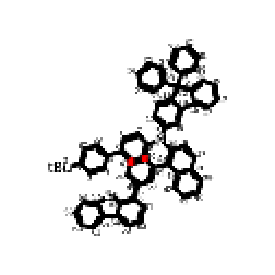 CC(C)(C)c1ccc(-c2ccc(N(c3ccc4c(c3)-c3ccccc3C4(c3ccccc3)c3ccccc3)c3ccc4ccccc4c3-c3cccc(-c4cccc5c4sc4ccccc45)c3)cc2)cc1